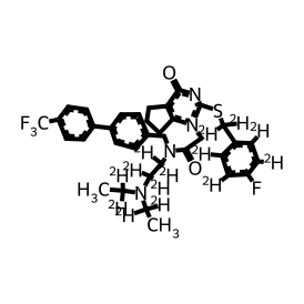 [2H]c1c([2H])c(C([2H])([2H])Sc2nc(=O)c3c(n2CC(=O)N(Cc2ccc(-c4ccc(C(F)(F)F)cc4)cc2)C([2H])([2H])C([2H])([2H])N(C([2H])([2H])C)C([2H])([2H])C)CCC3)c([2H])c([2H])c1F